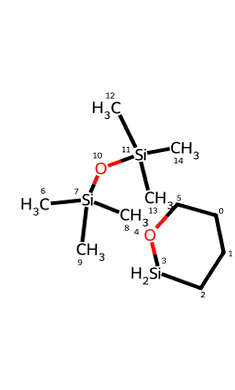 C1CC[SiH2]OC1.C[Si](C)(C)O[Si](C)(C)C